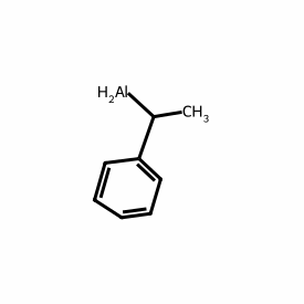 C[CH]([AlH2])c1ccccc1